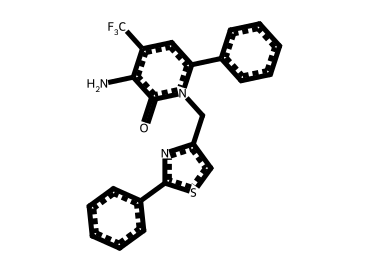 Nc1c(C(F)(F)F)cc(-c2ccccc2)n(Cc2csc(-c3ccccc3)n2)c1=O